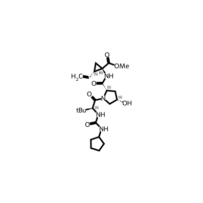 C=C[C@@H]1C[C@]1(NC(=O)[C@@H]1C[C@H](O)CN1C(=O)[C@@H](NC(=O)NC1CCCC1)C(C)(C)C)C(=O)OC